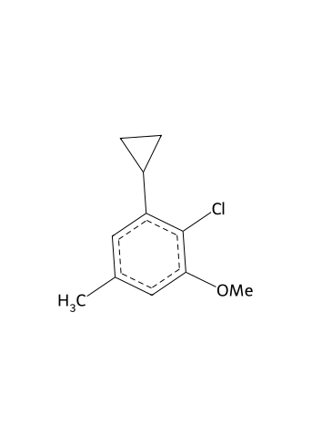 COc1cc(C)cc(C2CC2)c1Cl